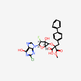 COC(=O)C(Cc1ccc(-c2ccccc2)cc1)(OC1[C@H]2O[C@@H](n3cnc4c(O)nc(Cl)nc43)[C@@H](F)[C@@]12O)C(=O)O